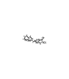 CCC1S/C(=N/N=C/c2ccc3cccnc3n2)NC1=O